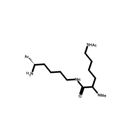 CNC(CCCCNC(C)=O)C(=O)NCCCC[C@H](N)C(C)=O